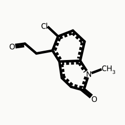 Cn1c(=O)ccc2c(CC=O)c(Cl)ccc21